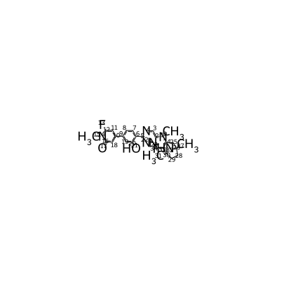 CN(c1cnc(-c2ccc(-c3cc(F)n(C)c(=O)c3)cc2O)nn1)[C@H]1C[C@]2(C)CC[C@@](C)(N2)[C@H]1F